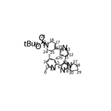 Cc1cccc(-c2nc3n(c2-c2ccnc(C4=CCN(C(=O)OC(C)(C)C)CC4)c2)C2CCC3C2)n1